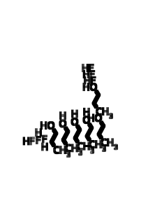 CCCO.CCCO.CCCO.CCCO.CCCO.CCCO.F.F.F.F.F.F